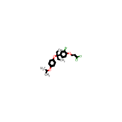 CCC(CC)(Oc1ccc(OC(C)C)cc1)c1ccc(OCC=C(Cl)Cl)c(Br)c1